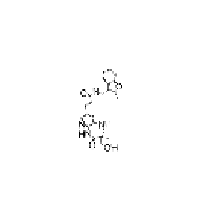 Cc1oc2ccccc2c1CN(C)C(=O)C=Cc1cnc2c(c1)NCC(C)(CO)C(=O)N2